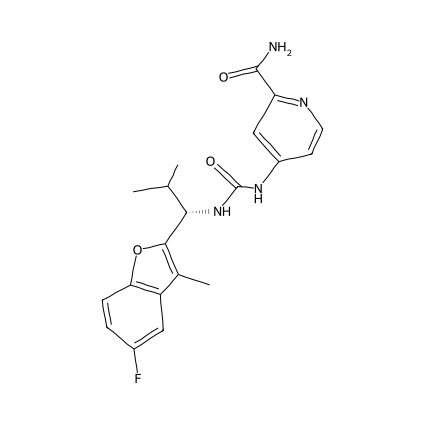 Cc1c([C@@H](NC(=O)Nc2ccnc(C(N)=O)c2)C(C)C)oc2ccc(F)cc12